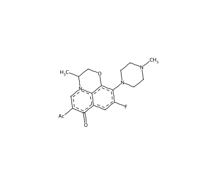 CC(=O)c1cn2c3c(c(N4CCN(C)CC4)c(F)cc3c1=O)OCC2C